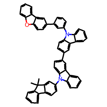 CC1(C)c2ccccc2-c2ccc(-n3c4ccccc4c4cc(-c5ccc6c(c5)c5ccccc5n6-c5cccc(-c6ccc7oc8ccccc8c7c6)c5)ccc43)cc21